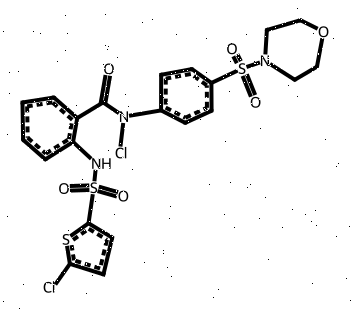 O=C(c1ccccc1NS(=O)(=O)c1ccc(Cl)s1)N(Cl)c1ccc(S(=O)(=O)N2CCOCC2)cc1